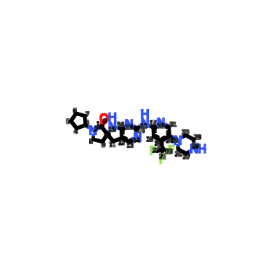 O=C1N(C2CCCC2)CCC12Cc1cnc(Nc3cc(C(F)(F)F)c(N4CCNCC4)cn3)nc1N2